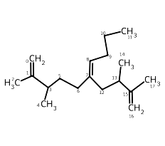 C=C(C)C(C)CCC(=CCCC)CC(C)C(=C)C